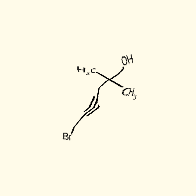 CC(C)(O)C#CBr